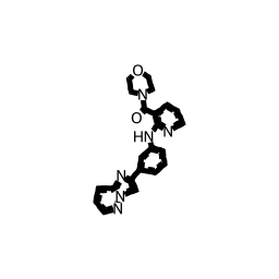 O=C(c1cccnc1Nc1cccc(-c2cn3ncccc3n2)c1)N1CCOCC1